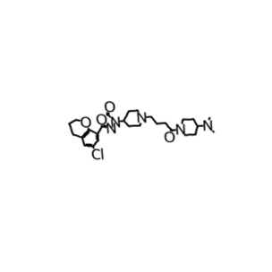 CN(C)C1CCN(C(=O)CCCN2CCC(n3nc(-c4cc(Cl)cc5c4OCCC5)oc3=O)CC2)CC1